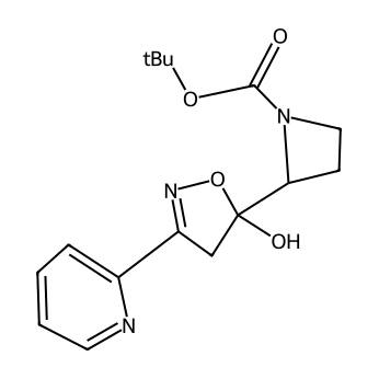 CC(C)(C)OC(=O)N1CCC1C1(O)CC(c2ccccn2)=NO1